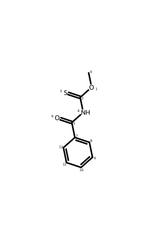 COC(=S)NC(=O)c1ccccc1